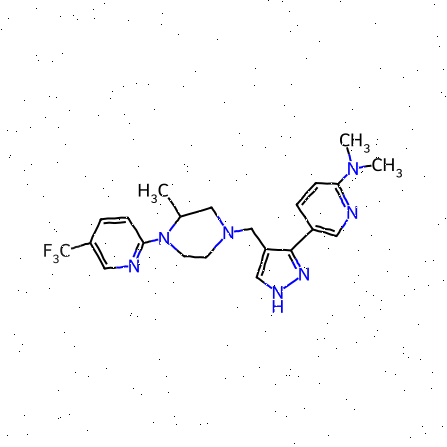 CC1CN(Cc2c[nH]nc2-c2ccc(N(C)C)nc2)CCN1c1ccc(C(F)(F)F)cn1